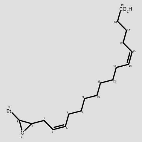 CCC1OC1C/C=C\CCCCCCC/C=C\CCCC(=O)O